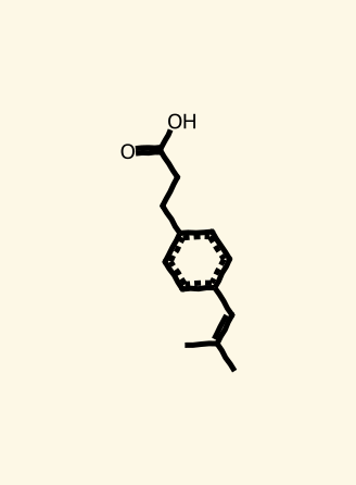 CC(C)=Cc1ccc(CCC(=O)O)cc1